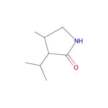 CC(C)C1C(=O)NCC1C